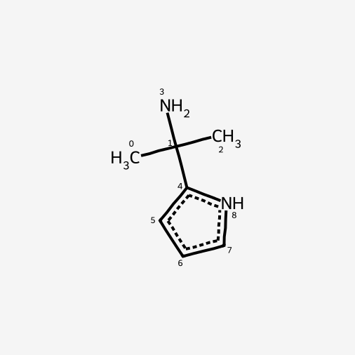 CC(C)(N)c1ccc[nH]1